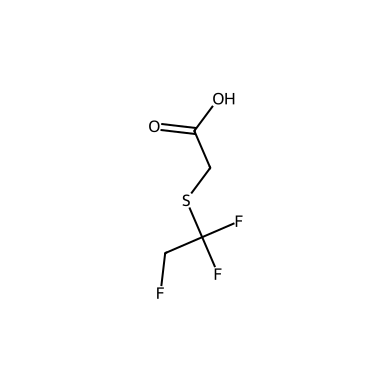 O=C(O)CSC(F)(F)CF